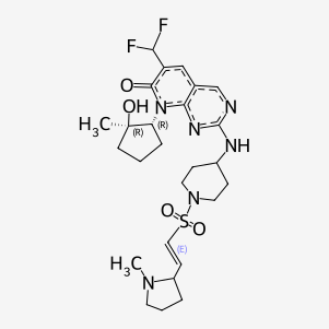 CN1CCCC1/C=C/S(=O)(=O)N1CCC(Nc2ncc3cc(C(F)F)c(=O)n([C@@H]4CCC[C@@]4(C)O)c3n2)CC1